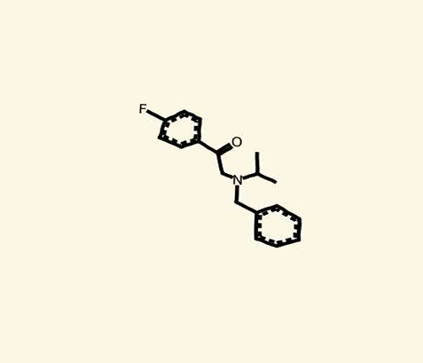 CC(C)N(CC(=O)c1ccc(F)cc1)Cc1ccccc1